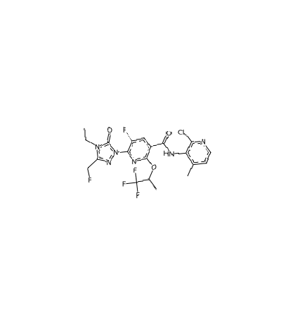 CCn1c(CF)nn(-c2nc(OC(C)C(F)(F)F)c(C(=O)Nc3c(C)ccnc3Cl)cc2F)c1=O